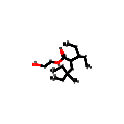 CCC(CC)C(CC(C)(CC)CC)C(=O)OCCO